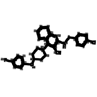 N#Cc1c(NCc2ccc(Cl)cc2)nc2ccccc2c1N1CCC(Oc2ccc(F)cc2)CC1